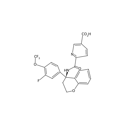 O=C(O)c1ccc(C(=O)N[C@]2(c3ccc(OC(F)(F)F)c(F)c3)CCOc3ccccc32)nc1